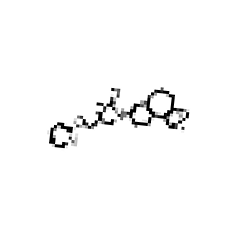 O=C1OC(COc2ccccn2)CN1c1ccc2c(c1)CCCc1oncc1-2